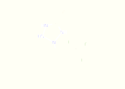 O=C1NNN(c2ccccc2C(F)(F)F)N1